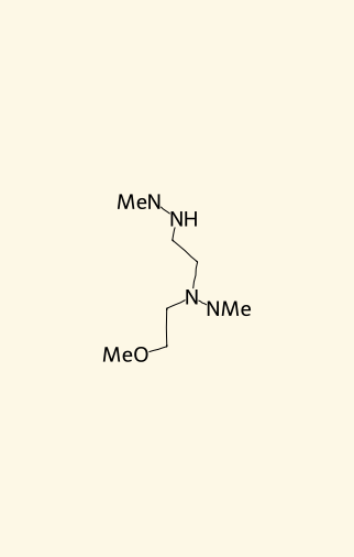 CNNCCN(CCOC)NC